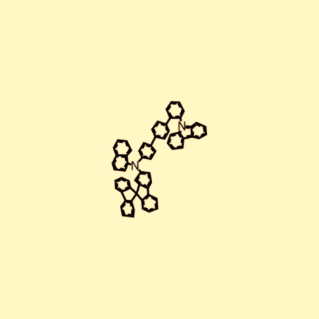 c1ccc(-n2c3ccccc3c3ccccc32)c(-c2ccc(-c3ccc(N(c4ccc5c(c4)C4(c6ccccc6-c6ccccc64)c4ccccc4-5)c4cccc5ccccc45)cc3)cc2)c1